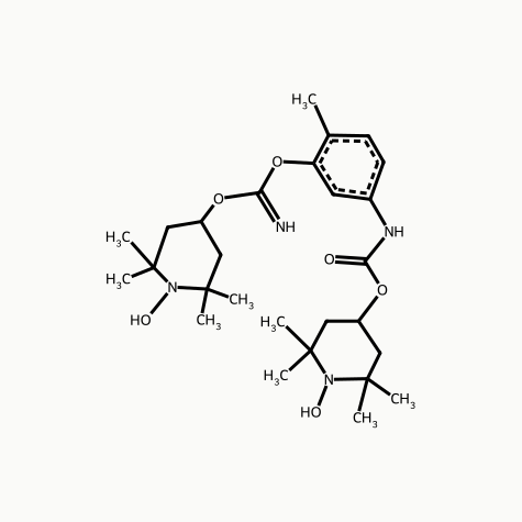 Cc1ccc(NC(=O)OC2CC(C)(C)N(O)C(C)(C)C2)cc1OC(=N)OC1CC(C)(C)N(O)C(C)(C)C1